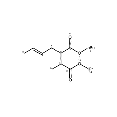 CC=CCC(C(=O)OCCCC)C(C)C(=O)OC(C)C